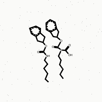 CCCCCCN(C(=O)O)C(=O)OC1Cc2ccccc2C1.CCCCCCNC(=O)OC1Cc2ccccc2C1